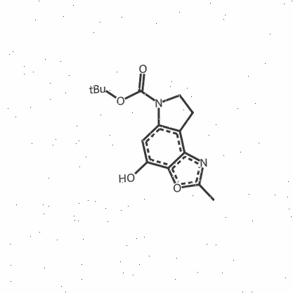 Cc1nc2c3c(cc(O)c2o1)N(C(=O)OC(C)(C)C)CC3